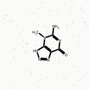 Cn1c(N)nc(=O)c2nn[nH]c21